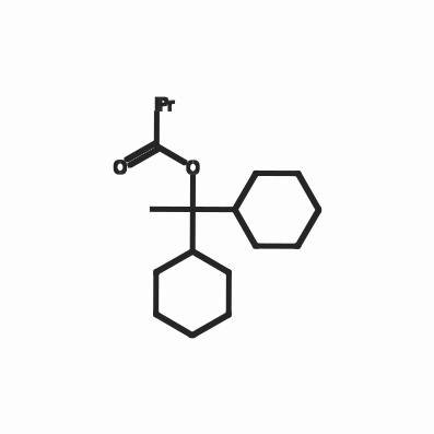 CC(C)C(=O)OC(C)(C1CCCCC1)C1CCCCC1